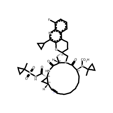 CC1(N(C(=O)O)[C@H]2CCCCC/C=C\[C@@H]3C[C@@]3(C(=O)NS(=O)(=O)C3(C)CC3)NC(=O)[C@@H]3C[C@]4(CCc5c(c(C6CC6)nc6c(F)cccc56)O4)CN3C2=O)CC1